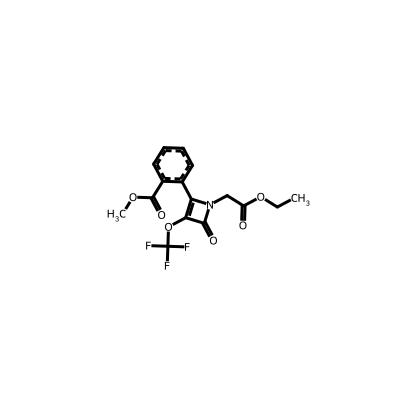 CCOC(=O)CN1C(=O)C(OC(F)(F)F)=C1c1ccccc1C(=O)OC